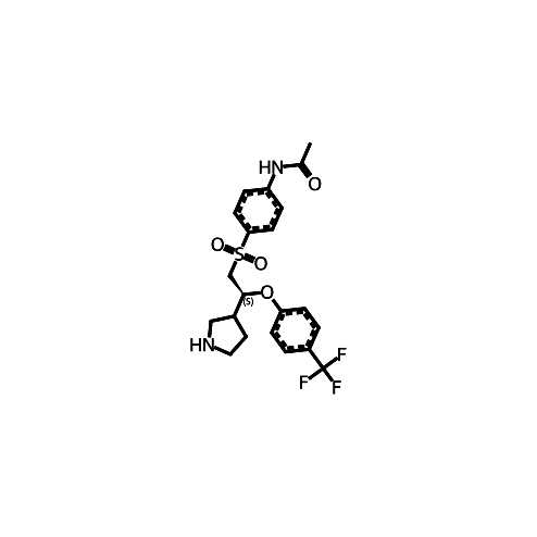 CC(=O)Nc1ccc(S(=O)(=O)C[C@@H](Oc2ccc(C(F)(F)F)cc2)C2CCNC2)cc1